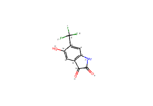 O=C1Nc2cc(C(F)(F)F)c(O)cc2C1=O